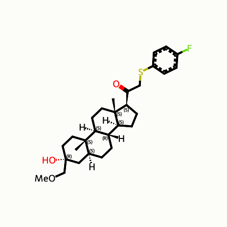 COC[C@@]1(O)CC[C@@]2(C)[C@@H](CC[C@@H]3[C@@H]2CC[C@]2(C)[C@@H](C(=O)CSc4ccc(F)cc4)CC[C@@H]32)C1